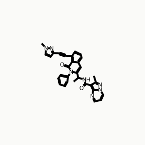 Cc1nn2cccnc2c1C(=O)NC(C)c1cc2cccc(C#Cc3ccn(C)n3)c2c(=O)n1-c1ccccc1